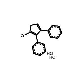 Cl.Cl.[Zr][C]1=C(c2ccccc2)C(c2ccccc2)=CC1